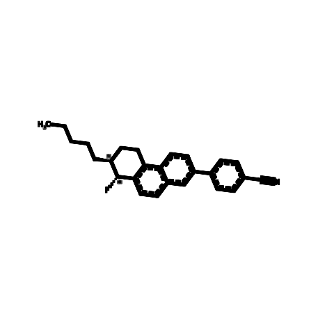 CCCCC[C@H]1CCc2c(ccc3cc(-c4ccc(C#N)cc4)ccc23)[C@@H]1F